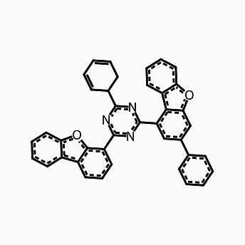 C1=CCC(c2nc(-c3cccc4c3oc3ccccc34)nc(-c3cc(-c4ccccc4)cc4oc5ccccc5c34)n2)C=C1